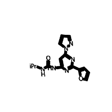 CC(C)NC(=O)Nc1cc(-n2cccn2)nc(-c2ccco2)n1